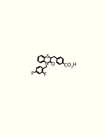 O=C(O)c1ccc(CC2Sc3ccccc3N(Cc3ccc(F)cc3F)C2=O)cc1